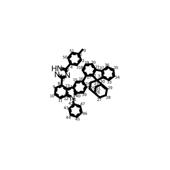 Cc1ccc(-c2nc(-c3cccc4c3c3cc(-c5cccc6c5C5(CCC7CCC=C5C7)c5ccccc5-6)ccc3n4-c3ccccc3)n[nH]2)cc1